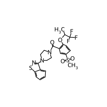 CC(Oc1ccc(S(C)(=O)=O)cc1C(=O)N1CCN(c2nsc3ccccc23)CC1)C(F)(F)F